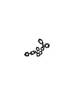 c1ccc(-c2ccc(N(c3ccccc3)c3cccc4ccc(-c5ccc(N(c6ccccc6)c6ccccc6)cc5)cc34)cc2)cc1